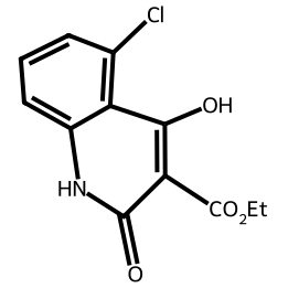 CCOC(=O)c1c(O)c2c(Cl)cccc2[nH]c1=O